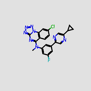 CN(c1cc(F)cc(-c2cnc(C3CC3)cn2)c1)c1nc2nnnn2c2cc(Cl)ccc12